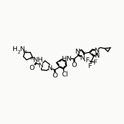 Cn1c(-c2cn(CC3CC3)nc2C(F)(F)F)cnc1C(=O)Nc1ccc(C(=O)N2CCN(C(=O)N[C@@H]3CC[C@@H](N)C3)CC2)c(Cl)c1